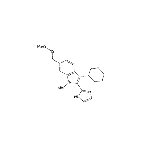 CCCCn1c(-c2ccc[nH]2)c(C2CCCCC2)c2ccc(COOC)cc21